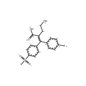 CS(=O)(=O)c1ccc(C(=C(CCO)C(=O)O)c2ccc(F)cc2)cc1